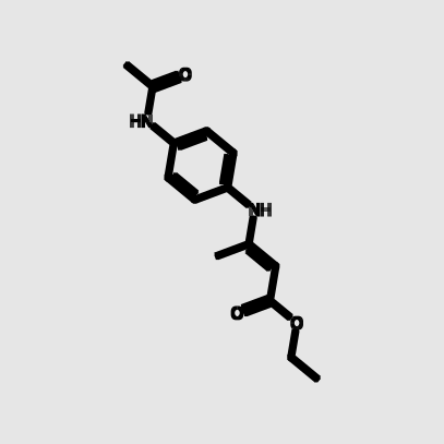 CCOC(=O)/C=C(\C)Nc1ccc(NC(C)=O)cc1